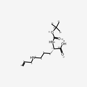 C=CCNCCC[C@H](NC(=O)OC(C)(C)C)C(=O)O